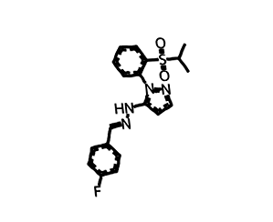 CC(C)S(=O)(=O)c1ccccc1-n1nccc1N/N=C/c1ccc(F)cc1